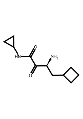 N[C@@H](CC1CCC1)C(=O)C(=O)NC1CC1